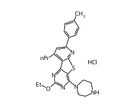 CCCc1cc(-c2ccc(C)cc2)nc2sc3c(N4CCNCC4)nc(OCC)nc3c12.Cl